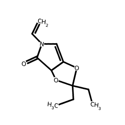 C=CN1C=C2OC(CC)(CC)OC2C1=O